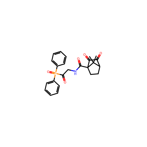 CC1(C)C2CCC1(C(=O)NCC(=O)P(=O)(c1ccccc1)c1ccccc1)C(=O)C2=O